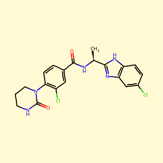 C[C@H](NC(=O)c1ccc(N2CCCNC2=O)c(Cl)c1)c1nc2cc(Cl)ccc2[nH]1